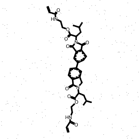 C=CC(=O)NCCOC(=O)C(CC(C)C)N1Cc2cc(-c3ccc4c(c3)C(=O)N(C(CC(C)C)C(=O)OCCNC(=O)C=C)C4=O)ccc2C1=O